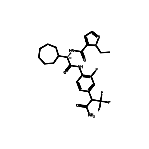 CCn1nccc1C(=O)N[C@H](C(=O)Nc1ccc(C(C(N)=O)C(F)(F)F)cc1F)C1CCCCCC1